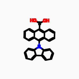 OB(O)c1c2ccccc2c(-n2c3ccccc3c3ccccc32)c2ccccc12